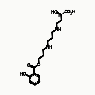 O=C(OCCCNCCCNCC[C@H](O)C(=O)O)c1ccccc1O